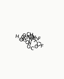 C[C@H](N)C(=O)N=S(C)(=O)Cc1cc2nc(c1)OCCCOc1cc(F)ccc1-c1cc(ncc1F)N2